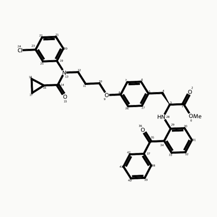 COC(=O)[C@H](Cc1ccc(OCCCN(C(=O)C2CC2)c2cccc(Cl)c2)cc1)Nc1ccccc1C(=O)c1ccccc1